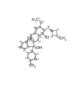 COc1nc2ccc(C(O)(c3ccc(C)nc3)c3cncn3C)cc2c(Cl)c1CN1CC(C)C1